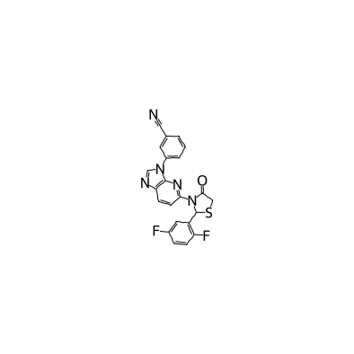 N#Cc1cccc(-n2cnc3ccc(N4C(=O)CSC4c4cc(F)ccc4F)nc32)c1